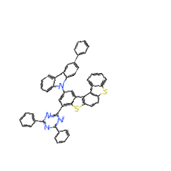 c1ccc(-c2ccc3c(c2)c2ccccc2n3-c2cc(-c3nc(-c4ccccc4)nc(-c4ccccc4)n3)c3sc4ccc5sc6ccccc6c5c4c3c2)cc1